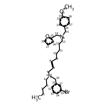 CCCCCN(C/C=C/CCCCCN(Cc1ccc(OC)cc1)Cc1ccco1)Cc1cccc(Br)c1